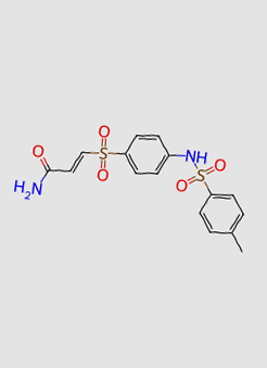 Cc1ccc(S(=O)(=O)Nc2ccc(S(=O)(=O)C=CC(N)=O)cc2)cc1